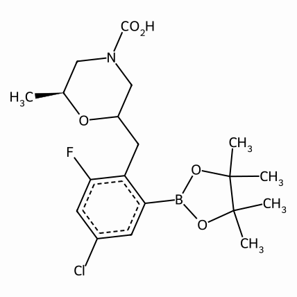 C[C@H]1CN(C(=O)O)CC(Cc2c(F)cc(Cl)cc2B2OC(C)(C)C(C)(C)O2)O1